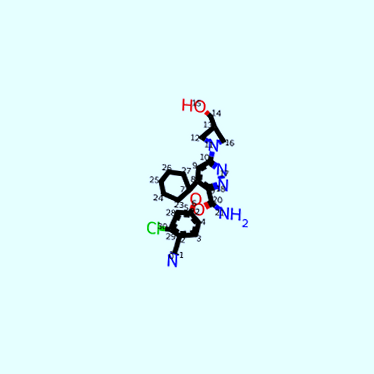 N#Cc1ccc(OC2(c3cc(N4CC(CO)C4)nnc3C(N)=O)CCCCC2)cc1Cl